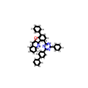 c1ccc(-c2ccc(-c3nc(-c4ccccc4)nc(-c4ccc(-c5ccccc5)c5oc6cc7ccccc7nc6c45)n3)cc2)cc1